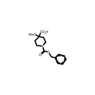 COC1(C(=O)O)CCN(C(=O)OCc2ccccc2)CC1